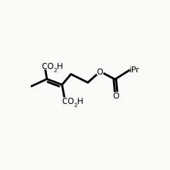 CC(C(=O)O)=C(CCOC(=O)C(C)C)C(=O)O